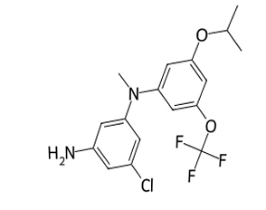 CC(C)Oc1cc(OC(F)(F)F)cc(N(C)c2cc(N)cc(Cl)c2)c1